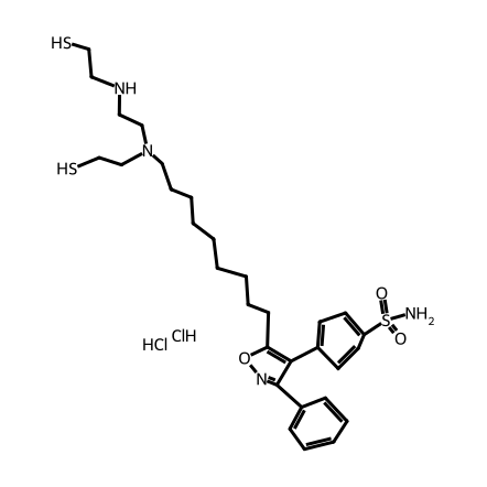 Cl.Cl.NS(=O)(=O)c1ccc(-c2c(-c3ccccc3)noc2CCCCCCCCCN(CCS)CCNCCS)cc1